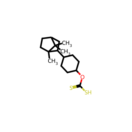 CC1(C)C2CCC1(C)C(C1CCC(OC(=S)S)CC1)C2